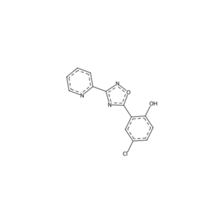 Oc1ccc(Cl)cc1-c1nc(-c2ccccn2)no1